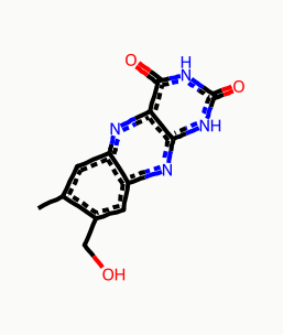 Cc1cc2nc3c(=O)[nH]c(=O)[nH]c3nc2cc1CO